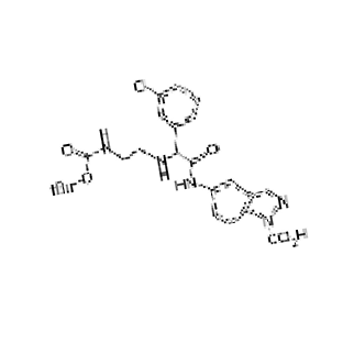 CC(C)(C)OC(=O)NCCNC(C(=O)Nc1ccc2c(cnn2C(=O)O)c1)c1cccc(Cl)c1